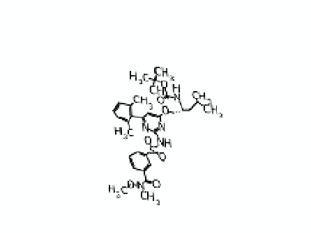 CON(C)C(=O)c1cccc(S(=O)(=O)Nc2nc(OC[C@@H](CC(C)C)NC(=O)OC(C)(C)C)cc(-c3c(C)cccc3C)n2)c1